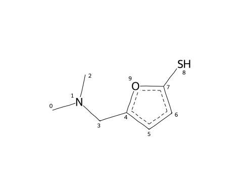 CN(C)Cc1ccc(S)o1